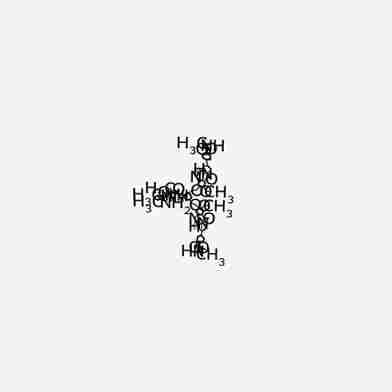 CNS(=O)(=O)c1ccc(C2=CCN3C(=O)c4cc(OC)c(OCc5cc(COc6cc7c(cc6OC)C(=O)N6CC=C(c8ccc(S(=O)(=O)NC)cc8)C[C@H]6C=N7)cc(NC(=O)C(C)NC(=O)C(N)C(C)C)c5)cc4N=C[C@@H]3C2)cc1